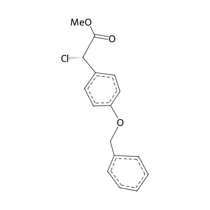 COC(=O)[C@@H](Cl)c1ccc(OCc2ccccc2)cc1